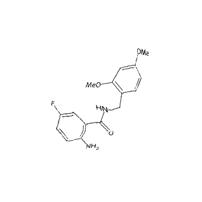 COc1ccc(CNC(=O)c2cc(F)ccc2N)c(OC)c1